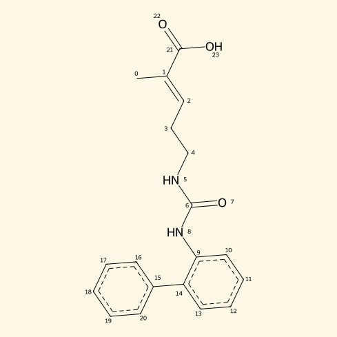 C/C(=C\CCNC(=O)Nc1ccccc1-c1ccccc1)C(=O)O